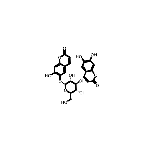 O=c1ccc2cc(O)c(O)cc2o1.O=c1ccc2cc(O[C@@H]3O[C@H](CO)[C@@H](O)[C@H](O)[C@H]3O)c(O)cc2o1